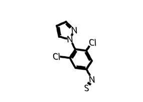 S=Nc1cc(Cl)c(-n2cccn2)c(Cl)c1